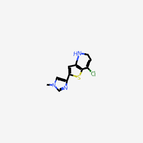 Cn1cnc(-c2cc3c(s2)C(Cl)=CCN3)c1